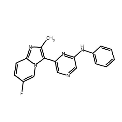 Cc1nc2ccc(F)cn2c1-c1cncc(Nc2ccccc2)n1